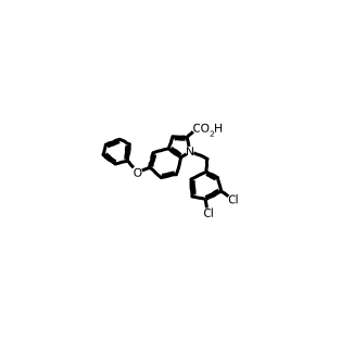 O=C(O)c1cc2cc(Oc3ccccc3)ccc2n1Cc1ccc(Cl)c(Cl)c1